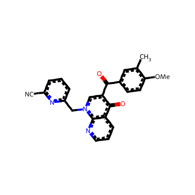 COc1ccc(C(=O)c2cn(Cc3cccc(C#N)n3)c3ncccc3c2=O)cc1C